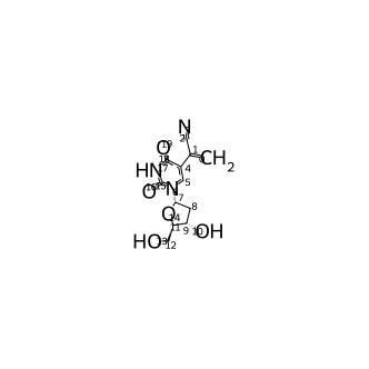 C=C(C#N)c1cn([C@@H]2C[C@H](O)[C@@H](CO)O2)c(=O)[nH]c1=O